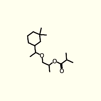 CC(COC(C)C1CCCC(C)(C)C1)OC(=O)C(C)C